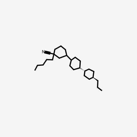 CCCCCC1(C#N)CCCC(C2CCC([C@H]3CC[C@H](CCC)CC3)CC2)C1